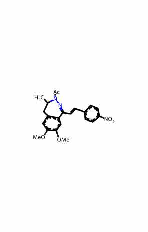 COc1cc2c(cc1OC)C(C=Cc1ccc([N+](=O)[O-])cc1)=NN(C(C)=O)C(C)C2